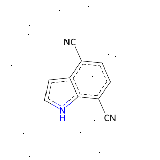 N#Cc1ccc(C#N)c2[nH]ccc12